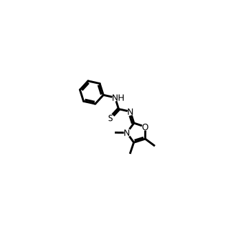 Cc1oc(=NC(=S)Nc2ccccc2)n(C)c1C